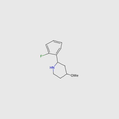 CO[C]1CCNC(c2ccccc2F)C1